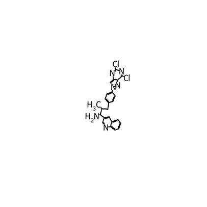 CC(Cc1ccc(-n2cc3nc(Cl)nc(Cl)c3n2)cc1)[C@@H](N)c1cnc2ccccc2c1